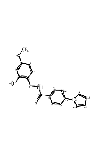 Cc1cc(OC(F)(F)F)ccc1CNC(=O)c1ccc(-n2cncn2)nc1